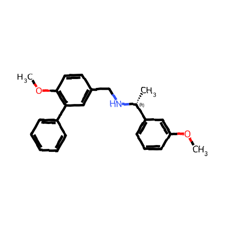 COc1cccc([C@@H](C)NCc2ccc(OC)c(-c3ccccc3)c2)c1